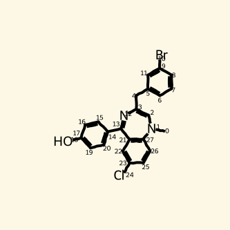 CN1C=C(Cc2cccc(Br)c2)N=C(c2ccc(O)cc2)c2cc(Cl)ccc21